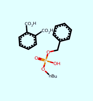 CCCCOP(=O)(O)OCc1ccccc1.O=C(O)c1ccccc1C(=O)O